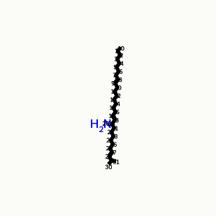 CCCCCCCC/C=C/CCCCCCC/C=C/C(N)CCCCCC/C=C/C(C)C